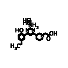 CCc1ccc(O)c(-c2cc(C3CCCN(CC(=O)O)C3)nc(N)n2)c1.Cl.Cl